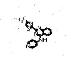 Cc1csc(-c2nc(Nc3ccncc3)c3ccccc3n2)n1